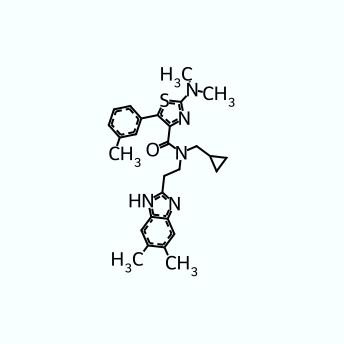 Cc1cccc(-c2sc(N(C)C)nc2C(=O)N(CCc2nc3cc(C)c(C)cc3[nH]2)CC2CC2)c1